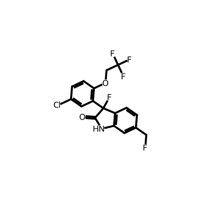 O=C1Nc2cc(CF)ccc2C1(F)c1cc(Cl)ccc1OCC(F)(F)F